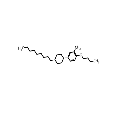 CCCCCCCCC[C@H]1CC[C@H](c2ccc(OCCCC)c(C)c2)CC1